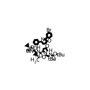 C=C[C@@H]1C[C@]1(NC(=O)[C@@H]1C[C@@H](Oc2cc(-c3ccccc3)nc3c2oc2ccc(Br)cc23)CN1C(=O)[C@@H](NC(=O)OC(C)(C)C)C(C)(C)C)C(=O)NS(=O)(=O)C1CC1